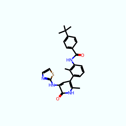 Cc1[nH]c(=O)c(Nc2nccs2)cc1-c1cccc(NC(=O)c2ccc(C(C)(C)C)cc2)c1C